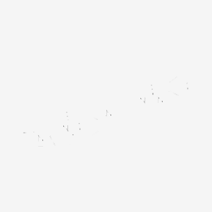 C=C1CCC(n2c(=C)c3ccc(N4CCC(CN5CCCN(c6cccc(Cl)c6)C5=C)CC4)cc3c2=C)C(=C)N1